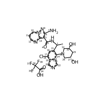 CC(NC(=O)c1c(N)nn2cccnc12)c1cc(Cl)c2cncn2c1N1C[C@@H](O)C[C@H](O)C1.O=C(O)C(F)(F)F